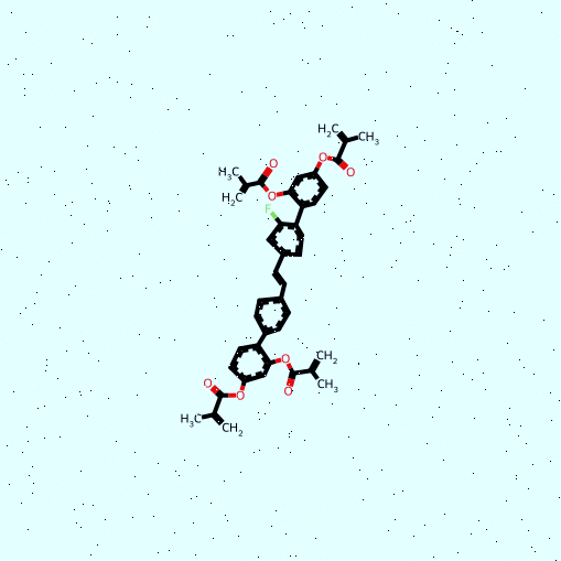 C=C(C)C(=O)Oc1ccc(-c2ccc(/C=C/c3ccc(-c4ccc(OC(=O)C(=C)C)cc4OC(=O)C(=C)C)c(F)c3)cc2)c(OC(=O)C(=C)C)c1